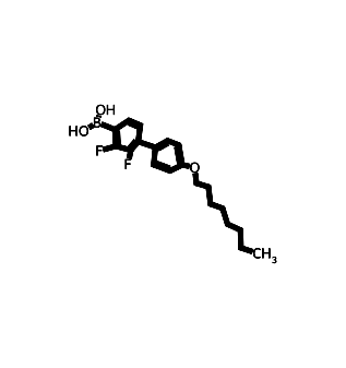 CCCCCCCCOc1ccc(-c2ccc(B(O)O)c(F)c2F)cc1